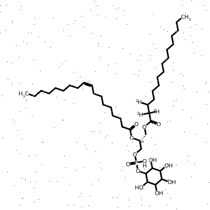 [2H]C(CCCCCCCCCCCCC)C([2H])([2H])C(=O)OC[C@H](COP(=O)(O)OC1C(O)C(O)C(O)C(O)C1O)OC(=O)CCCCCCC/C=C\CCCCCCCC